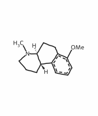 COc1cccc2c1CC[C@H]1[C@H]2CCCN1C